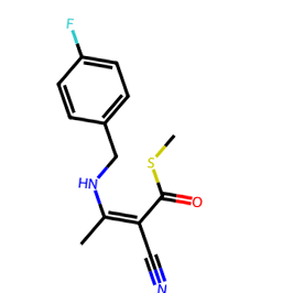 CSC(=O)C(C#N)=C(C)NCc1ccc(F)cc1